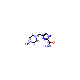 CCN1CCN(Cc2c[nH]c(C(N)=O)n2)CC1